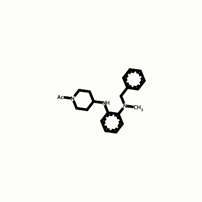 CC(=O)N1CCC(Nc2ccccc2N(C)Cc2ccccc2)CC1